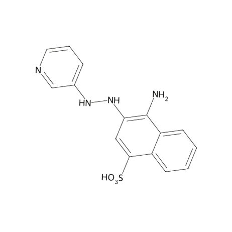 Nc1c(NNc2cccnc2)cc(S(=O)(=O)O)c2ccccc12